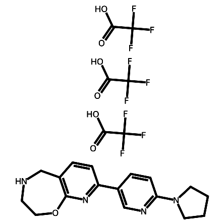 O=C(O)C(F)(F)F.O=C(O)C(F)(F)F.O=C(O)C(F)(F)F.c1cc(N2CCCC2)ncc1-c1ccc2c(n1)OCCNC2